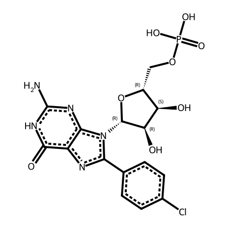 Nc1nc2c(nc(-c3ccc(Cl)cc3)n2[C@@H]2O[C@H](COP(=O)(O)O)[C@@H](O)[C@H]2O)c(=O)[nH]1